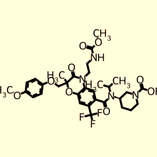 COC(=O)NCCN1C(=O)C(C)(COc2ccc(OC)cc2)Oc2cc(C(F)(F)F)c(C(=O)N(C(C)C)[C@@H]3CCCN(C(=O)O)C3)cc21